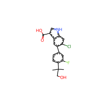 CC(C)(CO)c1ccc(-c2cc3c(C(=O)O)c[nH]c3cc2Cl)cc1F